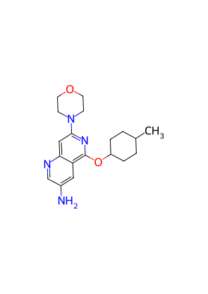 CC1CCC(Oc2nc(N3CCOCC3)cc3ncc(N)cc23)CC1